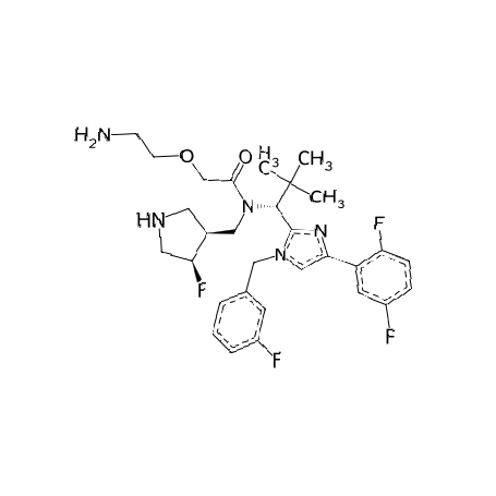 CC(C)(C)[C@H](c1nc(-c2cc(F)ccc2F)cn1Cc1cccc(F)c1)N(C[C@@H]1CNC[C@@H]1F)C(=O)COCCN